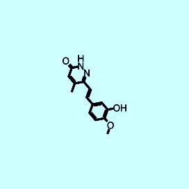 COc1ccc(C=Cc2n[nH]c(=O)cc2C)cc1O